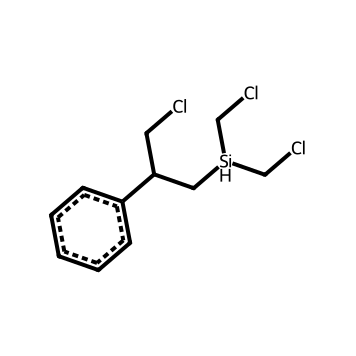 ClCC(C[SiH](CCl)CCl)c1ccccc1